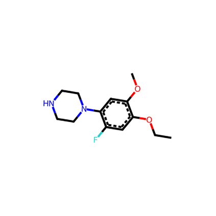 CCOc1cc(F)c(N2CCNCC2)cc1OC